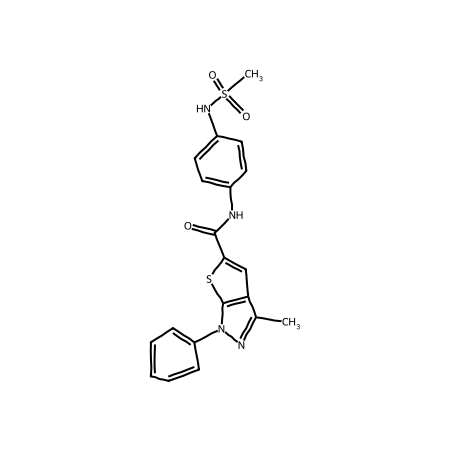 Cc1nn(-c2ccccc2)c2sc(C(=O)Nc3ccc(NS(C)(=O)=O)cc3)cc12